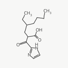 CCCCC(CC)CC(C(=O)O)C(=O)c1ncc[nH]1